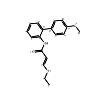 CCOC=CC(=O)Nc1ccccc1-c1ccc(OC)cc1